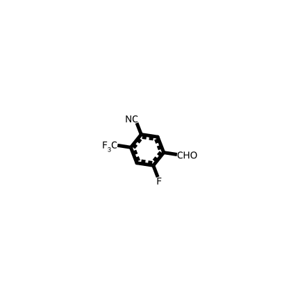 N#Cc1cc(C=O)c(F)cc1C(F)(F)F